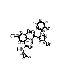 CN(C(=O)c1cc(Br)nn1-c1ncccc1Cl)c1c(Br)cc(Cl)cc1C(=O)NC1CC1